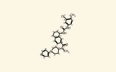 Cc1ccc(NC(=O)NC2CCCc3ccc(C(=O)N(C)C4CCN(c5ccncc5)CC4)cc32)cc1Cl